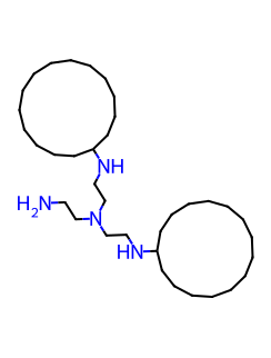 NCCN(CCNC1CCCCCCCCCCCCCC1)CCNC1CCCCCCCCCCCCCC1